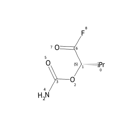 CC(C)[C@H](OC(N)=O)C(=O)F